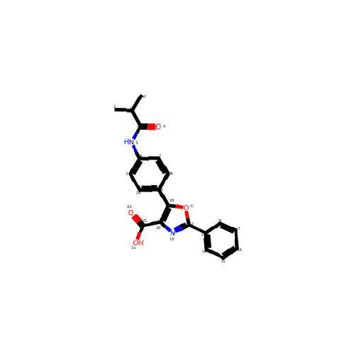 CC(C)C(=O)Nc1ccc(-c2oc(-c3ccccc3)nc2C(=O)O)cc1